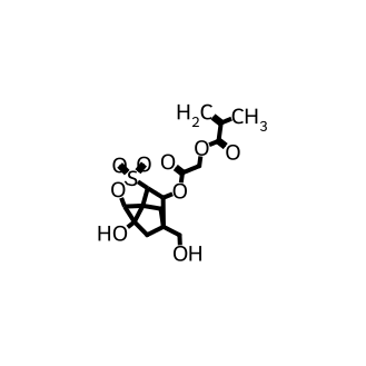 C=C(C)C(=O)OCC(=O)OC1C2C34CC1(CO)CC3(O)C4OS2(=O)=O